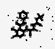 C[C@H](NC(=O)OC(C)(C)C)C(=O)Nc1ccc(F)c(Br)c1C(=O)Nc1ccccc1